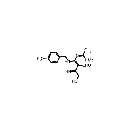 CN/C(C)=N\C(NCc1ccc(C(F)(F)F)cc1)=C(/C=O)C(=N)CO